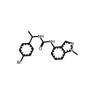 CC(NC(=O)Nc1cccc2c1cnn2C)c1ccc(Br)cc1